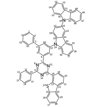 c1ccc(-c2cc(-c3nc(-c4ccccc4)nc(-c4cccc5c4sc4ccccc45)n3)cc(-n3c4ccccc4c4cc(-n5c6ccccc6c6ccccc65)ccc43)c2)cc1